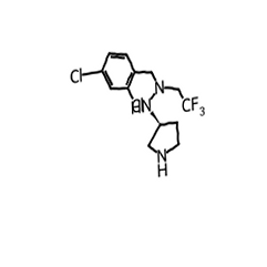 FC(F)(F)CN(Cc1ccc(Cl)cc1Cl)N[C@H]1CCNC1